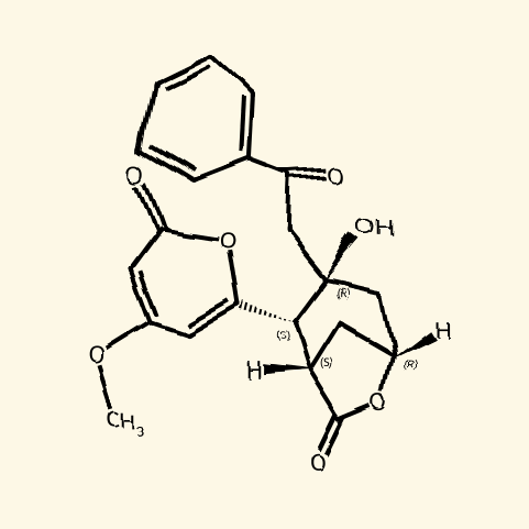 COc1cc([C@H]2[C@@H]3C[C@H](C[C@@]2(O)CC(=O)c2ccccc2)OC3=O)oc(=O)c1